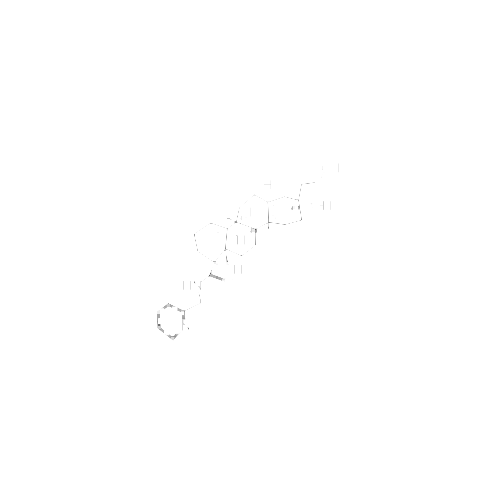 COC[C@@]1(O)CC[C@H]2[C@@H](CC[C@@H]3[C@@H]2CC[C@]2(C)[C@@H](C(=O)NCc4ccccn4)CCC[C@@H]32)C1